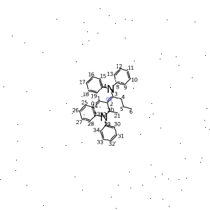 C=C/C(=C(/CCC)N(c1ccccc1)c1ccccc1)C(C)N(c1ccccc1)c1ccccc1